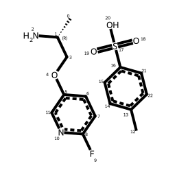 C[C@@H](N)COc1ccc(F)nc1.Cc1ccc(S(=O)(=O)O)cc1